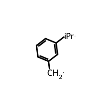 [CH2]c1cccc([C](C)C)c1